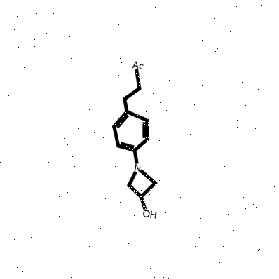 CC(=O)CCc1ccc(N2CC(O)C2)cc1